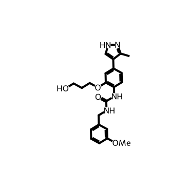 COc1cccc(CNC(=O)Nc2ccc(-c3c[nH]nc3C)cc2OCCCO)c1